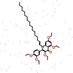 CCCCCCCCCCCCCCCCC=Cn1c(-c2ccc(OCC)c(OCC)c2)c(OCC)c(=O)c2c(OCC)cc(OCC)cc21